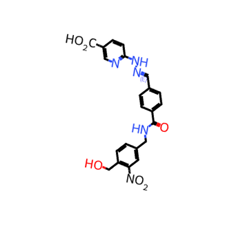 O=C(O)c1ccc(N/N=C/c2ccc(C(=O)NCc3ccc(CO)c([N+](=O)[O-])c3)cc2)nc1